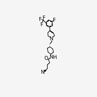 N#CCCCC(=O)N[C@H]1CC[C@H](CCN2CC=C(c3cc(F)cc(C(F)(F)F)c3)CC2)CC1